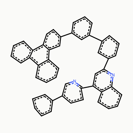 c1ccc(-c2ccc(-c3cc(-c4cccc(-c5cccc(-c6ccc7c8ccccc8c8ccccc8c7c6)c5)c4)nc4ccccc34)nc2)cc1